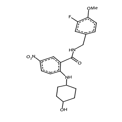 COc1ccc(CNC(=O)c2cc([N+](=O)[O-])ccc2NC2CCC(O)CC2)cc1F